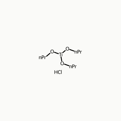 CCC[O][Ti]([O]CCC)[O]CCC.Cl